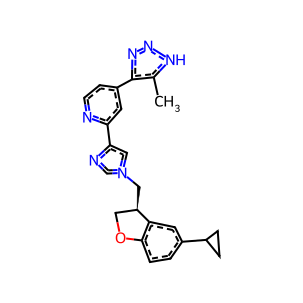 Cc1[nH]nnc1-c1ccnc(-c2cn(C[C@@H]3COc4ccc(C5CC5)cc43)cn2)c1